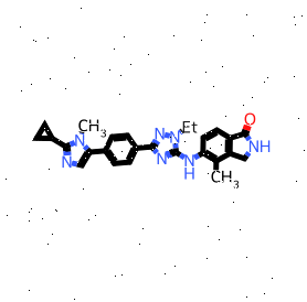 CCn1nc(-c2ccc(-c3cnc(C4CC4)n3C)cc2)nc1Nc1ccc2c(c1C)CNC2=O